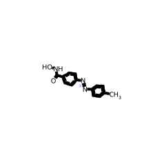 Cc1ccc(/N=N/c2ccc(C(=O)NO)cc2)cc1